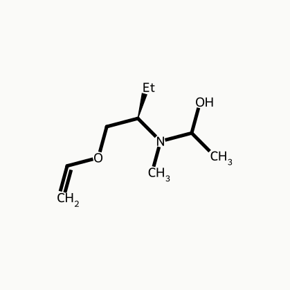 C=COC[C@@H](CC)N(C)C(C)O